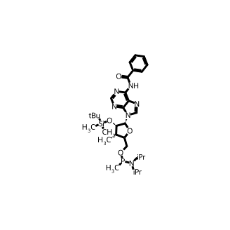 CC(C)N(C(C)C)P(C)OCC1O[C@@H](n2cnc3c(NC(=O)c4ccccc4)ncnc32)[C@@H](O[Si](C)(C)C(C)(C)C)[C@H]1C